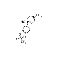 CN1CC[PH](O)(c2ccc(OS(=O)(=O)C(F)(F)F)cc2)CC1